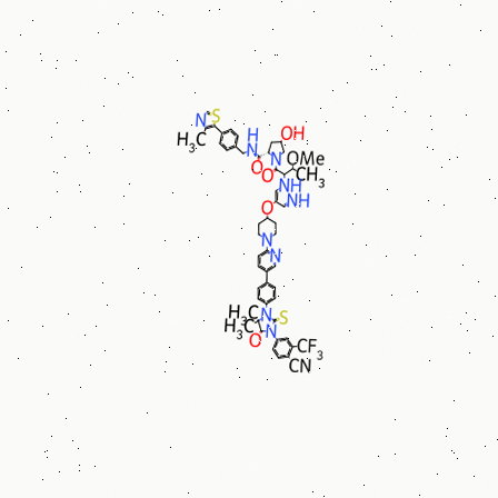 COC(C)[C@@H](N/C=C(\C=N)OC1CCN(c2ccc(-c3ccc(N4C(=S)N(c5ccc(C#N)c(C(F)(F)F)c5)C(=O)C4(C)C)cc3)cn2)CC1)C(=O)N1C[C@H](O)C[C@H]1C(=O)NCc1ccc(-c2scnc2C)cc1